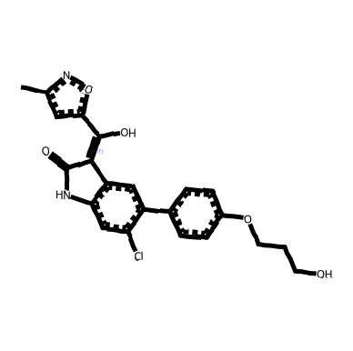 Cc1cc(/C(O)=C2\C(=O)Nc3cc(Cl)c(-c4ccc(OCCCO)cc4)cc32)on1